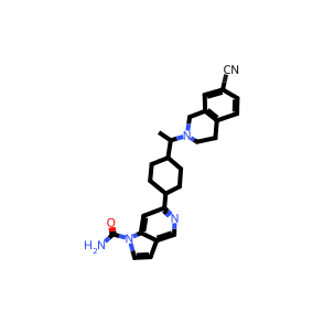 CC(C1CCC(c2cc3c(ccn3C(N)=O)cn2)CC1)N1CCc2ccc(C#N)cc2C1